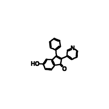 O=C1C(c2cccnc2)=C(c2ccccc2)c2cc(O)ccc21